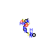 Cc1cc([S+](C)[O-])c(NC(=O)CN2CCN(CCSc3nc4ccccc4[nH]3)CC2)c([S+](C)[O-])n1